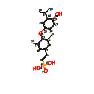 Cc1cc(/C=C/P(=O)(O)O)cc(C)c1Oc1ccc(O)c(C(C)C)c1